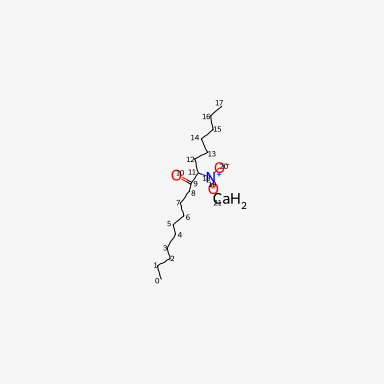 CCCCCCCCCC(=O)C(CCCCCC)[N+](=O)[O-].[CaH2]